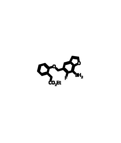 Bc1c(F)c(COc2ccccc2CC(=O)OCC)cc2ccoc12